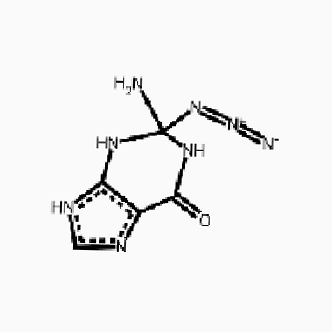 [N-]=[N+]=NC1(N)NC(=O)c2nc[nH]c2N1